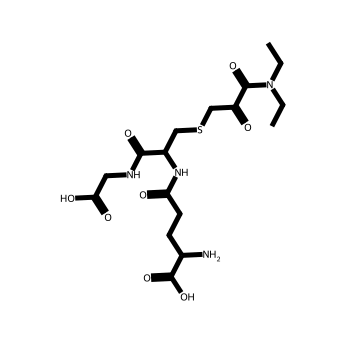 CCN(CC)C(=O)C(=O)CSCC(NC(=O)CCC(N)C(=O)O)C(=O)NCC(=O)O